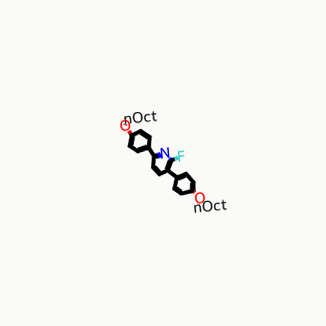 CCCCCCCCOc1ccc(-c2ccc(-c3ccc(OCCCCCCCC)cc3)c(F)n2)cc1